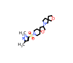 Cc1cc(S(=O)(=O)N2CCC3(CC2)CC(N2CCC4(CCOC4)C2)CO3)n(C)n1